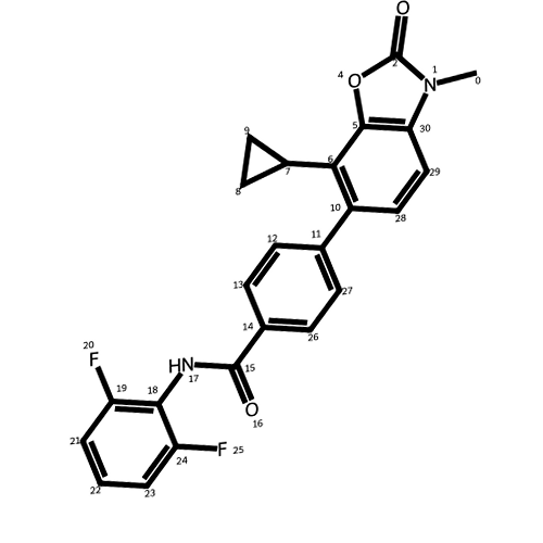 Cn1c(=O)oc2c(C3CC3)c(-c3ccc(C(=O)Nc4c(F)cccc4F)cc3)ccc21